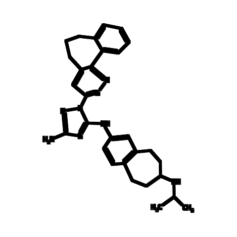 CC(C)NC1CCc2ccc(Nc3nc(N)nn3-c3cc4c(nn3)-c3ccccc3CCC4)cc2CC1